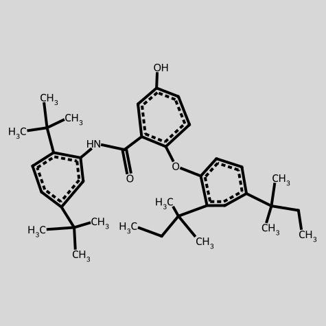 CCC(C)(C)c1ccc(Oc2ccc(O)cc2C(=O)Nc2cc(C(C)(C)C)ccc2C(C)(C)C)c(C(C)(C)CC)c1